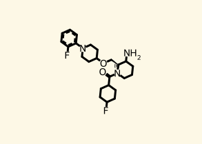 NC1CCCN(C(=O)C2CCC(F)CC2)[C@H]1COC1CCN(c2ccccc2F)CC1